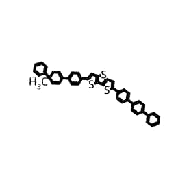 CC1(c2ccccc2)C=CC(c2ccc(-c3cc4sc5cc(-c6ccc(-c7ccc(-c8ccccc8)cc7)cc6)sc5c4s3)cc2)=CC1